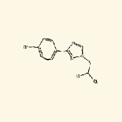 OC(O)Cn1cnc(-c2ccc(Br)cc2)n1